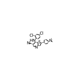 CN(C)c1ccc(-c2cc3ncc(C#N)c(Nc4ccc(Cl)cc4Cl)c3s2)cc1